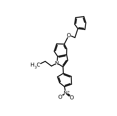 CCCn1c(-c2ccc([N+](=O)[O-])cc2)cc2cc(OCc3ccccc3)ccc21